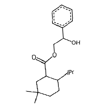 CC(C)C1CCC(C)(C)CC1C(=O)OCC(O)c1ccccc1